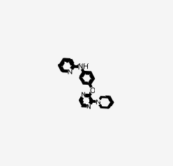 c1ccc(Nc2ccc(Oc3nccnc3N3CCCCC3)cc2)nc1